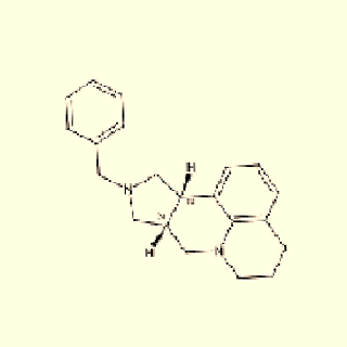 c1ccc(CN2C[C@H]3CN4CCCc5cccc(c54)[C@H]3C2)cc1